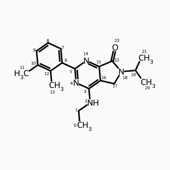 CCNc1nc(-c2cccc(C)c2C)nc2c1CN(C(C)C)C2=O